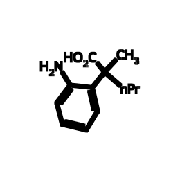 CCCC(C)(C(=O)O)c1ccccc1N